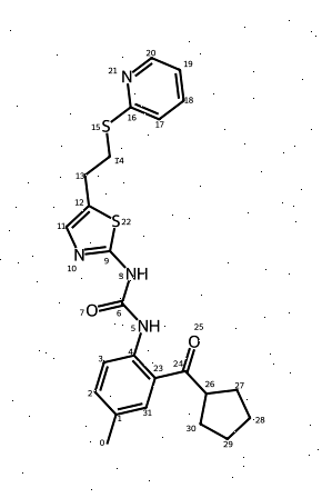 Cc1ccc(NC(=O)Nc2ncc(CCSc3ccccn3)s2)c(C(=O)C2CCCC2)c1